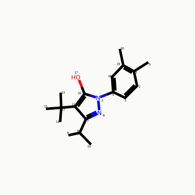 Cc1ccc(-n2nc(C(C)C)c(C(C)(C)C)c2O)cc1C